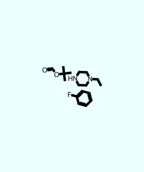 CC(C)(C)OC=O.CCN1CCNCC1.Fc1ccccc1